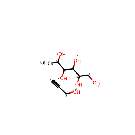 C#CCO.O=CC(O)C(O)C(O)C(O)CO